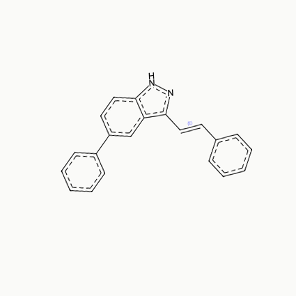 C(=C\c1n[nH]c2ccc(-c3ccccc3)cc12)/c1ccccc1